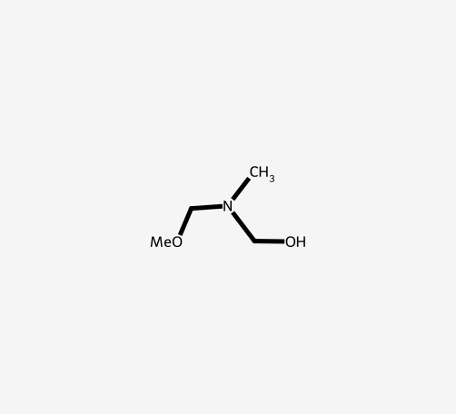 COCN(C)CO